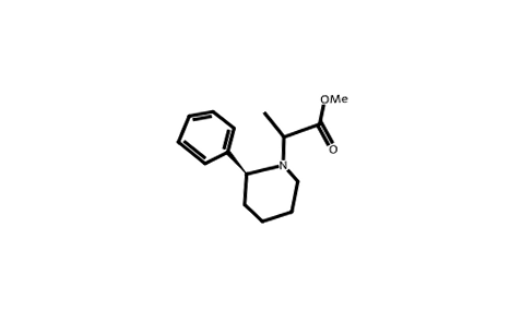 COC(=O)C(C)N1CCCC[C@H]1c1ccccc1